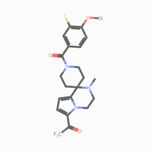 CCOc1ccc(C(=O)N2CCC3(CC2)c2ccc(C(=O)C(F)(F)F)n2CCN3C)cc1F